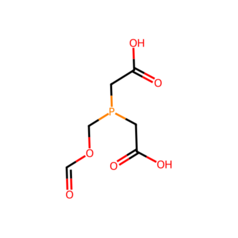 O=COCP(CC(=O)O)CC(=O)O